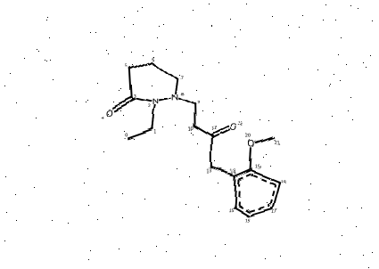 [CH2]CN1C(=O)CCCN1CCC(=O)Cc1ccccc1OC